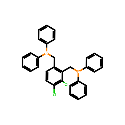 Clc1ccc(CP(c2ccccc2)c2ccccc2)c(CP(c2ccccc2)c2ccccc2)c1Cl